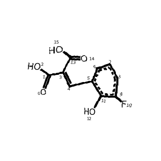 O=C(O)C(=Cc1cccc(F)c1O)C(=O)O